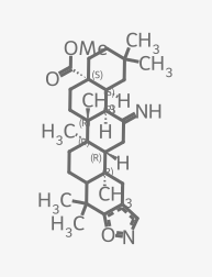 COC(=O)[C@]12CCC(C)(C)C[C@H]1[C@H]1C(=N)C[C@@H]3[C@@]4(C)Cc5cnoc5C(C)(C)C4CC[C@@]3(C)[C@]1(C)CC2